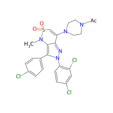 CC(=O)N1CCN(C2=CS(=O)(=O)N(C)c3c2nn(-c2ccc(Cl)cc2Cl)c3-c2ccc(Cl)cc2)CC1